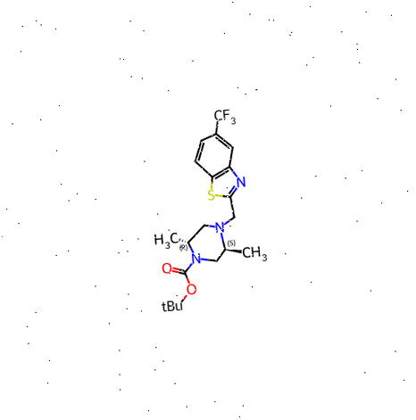 C[C@@H]1CN(Cc2nc3cc(C(F)(F)F)ccc3s2)[C@@H](C)CN1C(=O)OC(C)(C)C